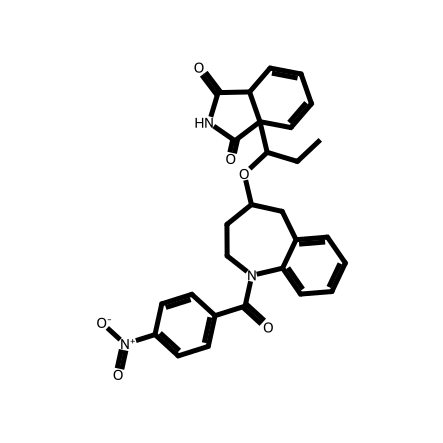 CCC(OC1CCN(C(=O)c2ccc([N+](=O)[O-])cc2)c2ccccc2C1)C12C=CC=CC1C(=O)NC2=O